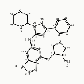 Cn1ncc2c(OC3CCCC3O)cc(Nc3cc(-c4ccccc4)nn3C3CCCCO3)nc21